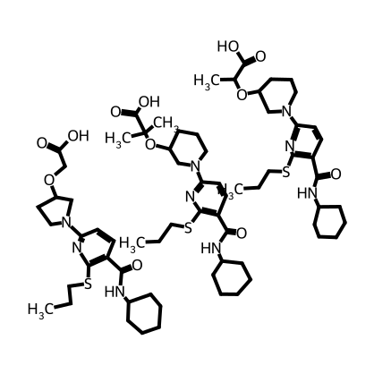 CCCSc1nc(N2CCC(OCC(=O)O)C2)ccc1C(=O)NC1CCCCC1.CCCSc1nc(N2CCCC(OC(C)(C)C(=O)O)C2)ccc1C(=O)NC1CCCCC1.CCCSc1nc(N2CCCC(OC(C)C(=O)O)C2)ccc1C(=O)NC1CCCCC1